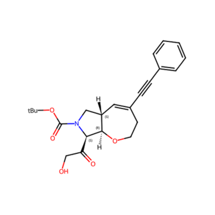 CC(C)(C)OC(=O)N1C[C@@H]2C=C(C#Cc3ccccc3)CCO[C@H]2[C@H]1C(=O)CO